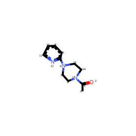 CC(=O)N1CCN(c2c[c]ccn2)CC1